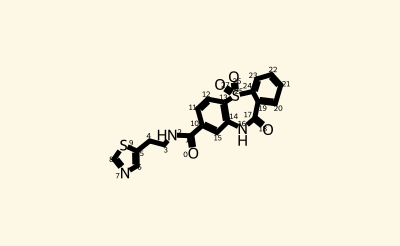 O=C(NCCc1cncs1)c1ccc2c(c1)NC(=O)c1ccccc1S2(=O)=O